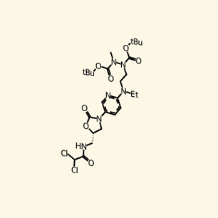 CCN(CCN(C(=O)OC(C)(C)C)N(C)C(=O)OC(C)(C)C)c1ccc(N2C[C@H](CNC(=O)C(Cl)Cl)OC2=O)cn1